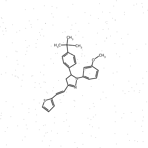 COc1cccc(N2N=C(C=Cc3cccs3)CC2c2ccc(C(C)(C)C)cc2)c1